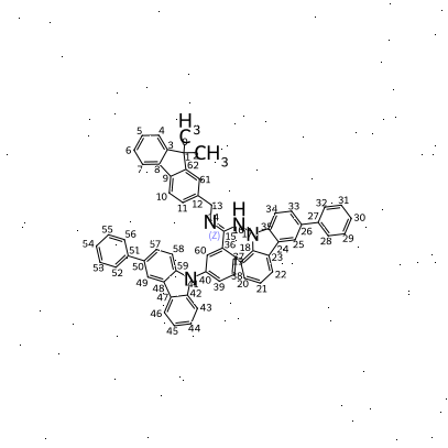 CC1(C)c2ccccc2-c2ccc(C/N=C(\Nn3c4ccccc4c4cc(-c5ccccc5)ccc43)c3cccc(-n4c5ccccc5c5cc(-c6ccccc6)ccc54)c3)cc21